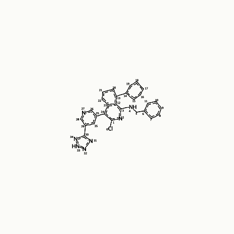 Clc1nc(NCc2ccccc2)c2c(-c3ccccc3)cccc2c1-c1cncc(-c2nn[nH]n2)c1